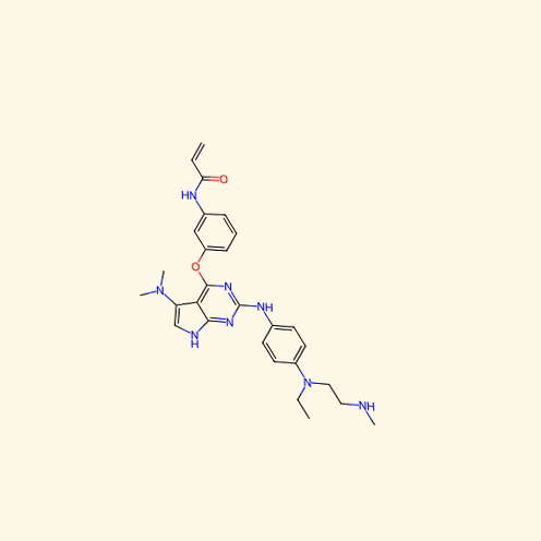 C=CC(=O)Nc1cccc(Oc2nc(Nc3ccc(N(CC)CCNC)cc3)nc3[nH]cc(N(C)C)c23)c1